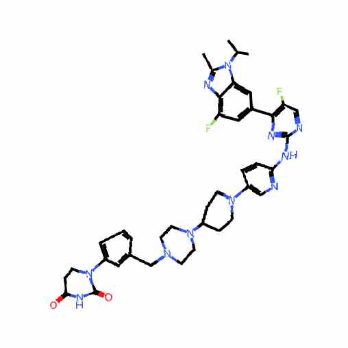 Cc1nc2c(F)cc(-c3nc(Nc4ccc(N5CCC(N6CCN(Cc7cccc(N8CCC(=O)NC8=O)c7)CC6)CC5)cn4)ncc3F)cc2n1C(C)C